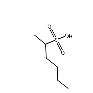 CCC[CH]C(C)S(=O)(=O)O